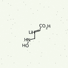 O=C(O)C=CCNO.[LiH]